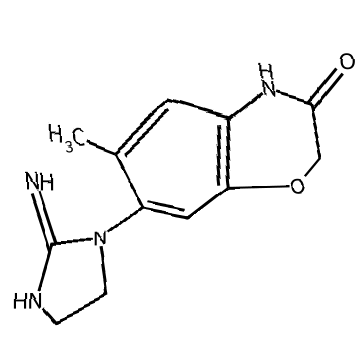 Cc1cc2c(cc1N1CCNC1=N)OCC(=O)N2